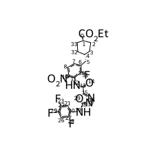 CCOC(=O)[C@H]1CC[C@H](Cc2ccc([N+](=O)[O-])c(NC(=O)c3nnc(Nc4cc(F)c(F)cc4F)o3)c2F)CC1